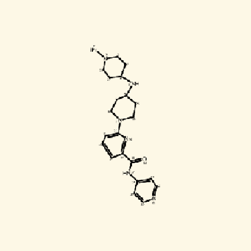 CC(C)N1CCC(NC2CCN(c3cccc(C(=O)Nc4ccncc4)n3)CC2)CC1